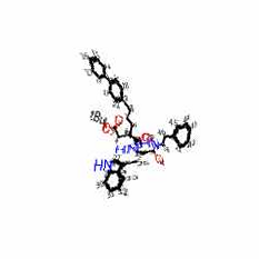 CC(C)(C)OC(=O)C[C@@H](CCCc1ccc(-c2ccccc2)cc1)C(=O)N[C@@H](Cc1c[nH]c2ccccc12)C(=O)NCCc1ccccc1